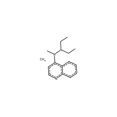 C.CCN(CC)N(C)c1ccnc2ccccc12